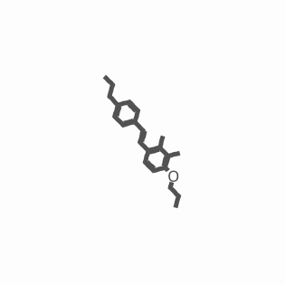 CCCOc1ccc(C=Cc2ccc(CCC)cc2)c(C)c1C